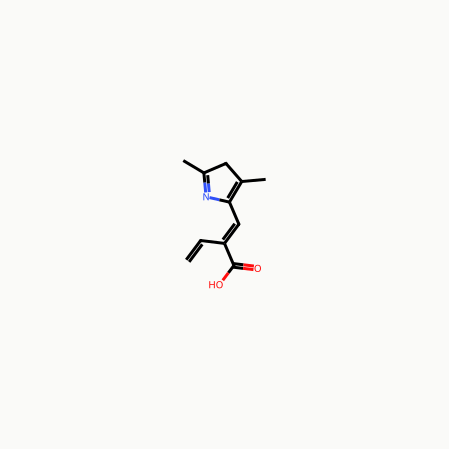 C=C/C(=C\C1=C(C)CC(C)=N1)C(=O)O